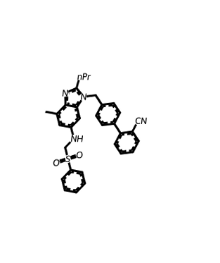 CCCc1nc2c(C)cc(NCS(=O)(=O)c3ccccc3)cc2n1Cc1ccc(-c2ccccc2C#N)cc1